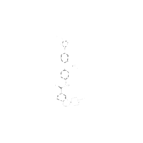 Cc1nc(-c2ccc(-c3ccc(NC(=O)c4ccc5c(c4)C4(CCN(C)CC4)CO5)cc3)c(C)c2)no1